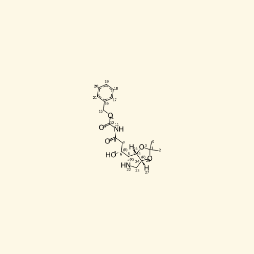 CC1(C)O[C@H]2[C@@H]([C@H](O)CC(=O)NC(=O)OCc3ccccc3)NC[C@H]2O1